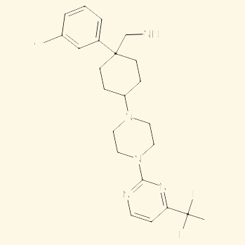 NCC1(c2cccc(Cl)c2)CCC(N2CCN(c3nccc(C(F)(F)F)n3)CC2)CC1